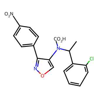 CC(c1ccccc1Cl)N(C(=O)O)c1conc1-c1ccc([N+](=O)[O-])cc1